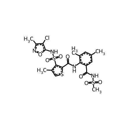 Cc1cc(C)c(NC(=O)c2scc(C)c2S(=O)(=O)Nc2onc(C)c2Cl)c(C(=O)NS(C)(=O)=O)c1